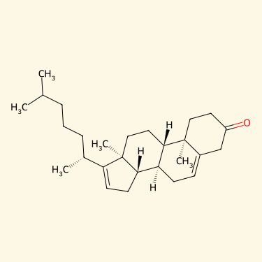 CC(C)CCC[C@@H](C)C1=CC[C@H]2[C@@H]3CC=C4CC(=O)CC[C@]4(C)[C@H]3CC[C@]12C